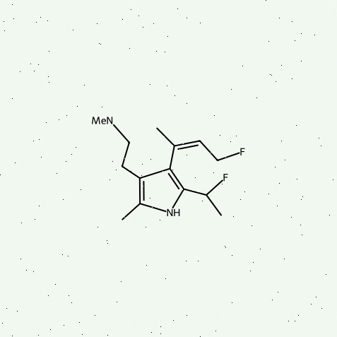 CNCCc1c(C)[nH]c(C(C)F)c1/C(C)=C\CF